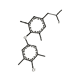 Cc1cc(Oc2c(C)cc(CC(C)F)cc2C)cc(C)c1Cl